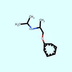 CC(C)NC(C)COc1ccccc1